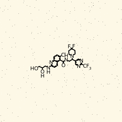 O=C(NCC(c1cnc(C(F)(F)F)nc1)N1CCC(F)(F)CC1)c1c(Cl)ccc2nc(NCC(O)CO)ccc12